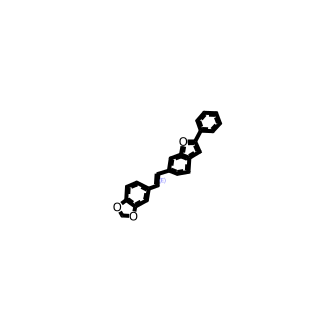 C(=C\c1ccc2cc(-c3ccccc3)oc2c1)/c1ccc2c(c1)OCO2